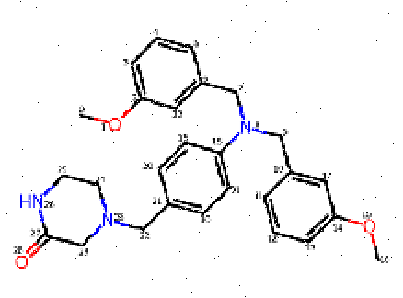 COc1cccc(CN(Cc2cccc(OC)c2)c2ccc(CN3CCNC(=O)C3)cc2)c1